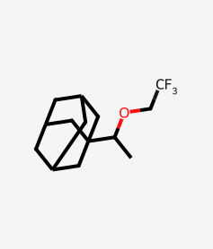 CC(OCC(F)(F)F)C12CC3CC(CC(C3)C1)C2